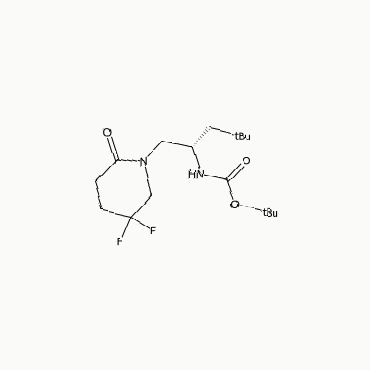 CC(C)(C)C[C@@H](CN1CC(F)(F)CCC1=O)NC(=O)OC(C)(C)C